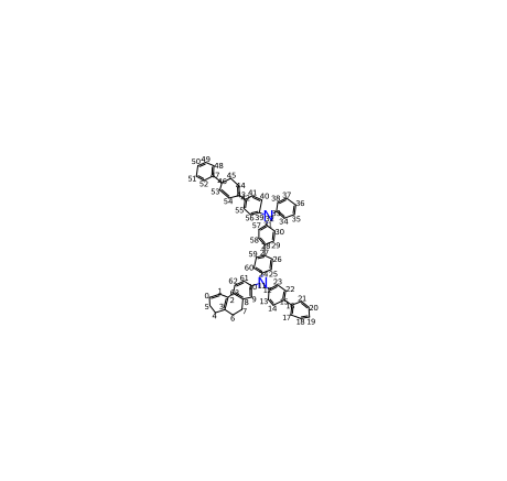 C1=CC2=C(CC1)CCc1cc(N(c3ccc(-c4ccccc4)cc3)c3ccc(-c4ccc(N(c5ccccc5)c5ccc(C6=CCC(c7ccccc7)C=C6)cc5)cc4)cc3)ccc12